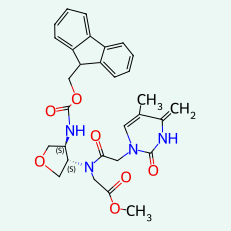 C=C1NC(=O)N(CC(=O)N(CC(=O)OC)[C@@H]2COC[C@H]2NC(=O)OCC2c3ccccc3-c3ccccc32)C=C1C